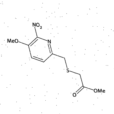 COC(=O)CSCc1ccc(OC)c([N+](=O)[O-])n1